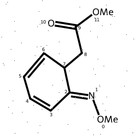 CO/N=C1\C=CC=CC1CC(=O)OC